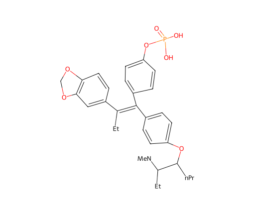 CCCC(Oc1ccc(C(=C(CC)c2ccc3c(c2)OCO3)c2ccc(OP(=O)(O)O)cc2)cc1)C(CC)NC